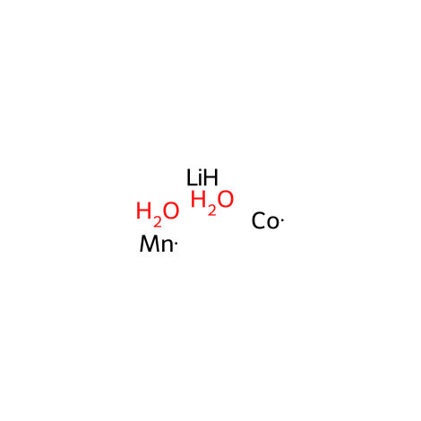 O.O.[Co].[LiH].[Mn]